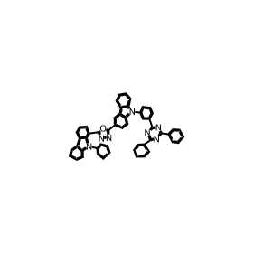 c1ccc(-c2nc(-c3ccccc3)nc(-c3cccc(-n4c5ccccc5c5cc(-c6nnc(-c7cccc8c9ccccc9n(-c9ccccc9)c78)o6)ccc54)c3)n2)cc1